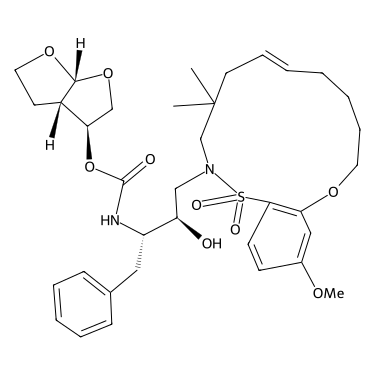 COc1ccc2c(c1)OCCCC/C=C/CC(C)(C)CN(C[C@@H](O)[C@H](Cc1ccccc1)NC(=O)O[C@@H]1CO[C@H]3OCC[C@H]31)S2(=O)=O